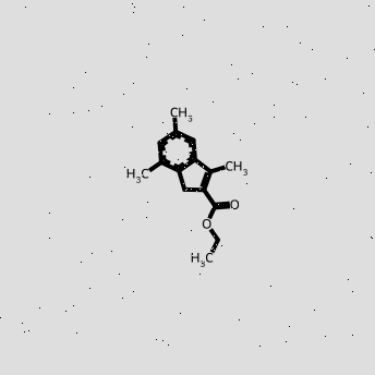 CCOC(=O)C1=C(C)c2cc(C)cc(C)c2C1